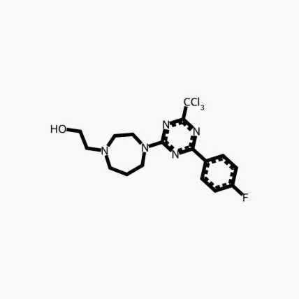 OCCN1CCCN(c2nc(-c3ccc(F)cc3)nc(C(Cl)(Cl)Cl)n2)CC1